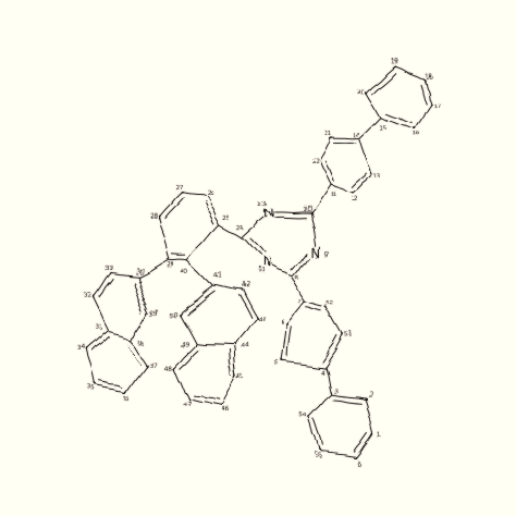 c1ccc(-c2ccc(-c3nc(-c4ccc(-c5ccccc5)cc4)nc(-c4cccc(-c5ccc6ccccc6c5)c4-c4ccc5ccccc5c4)n3)cc2)cc1